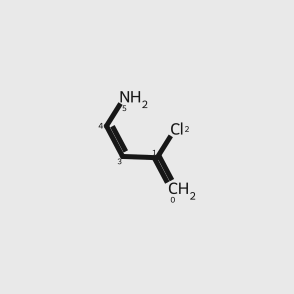 C=C(Cl)/C=C\N